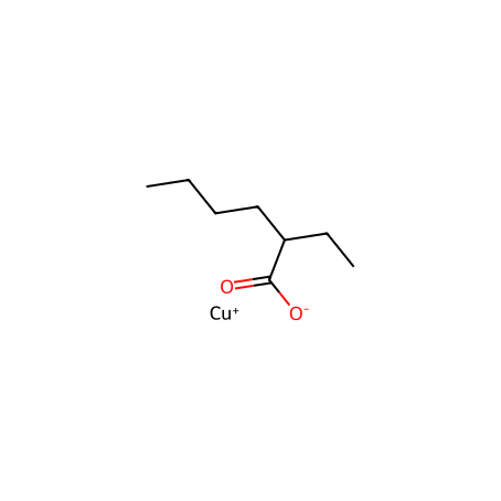 CCCCC(CC)C(=O)[O-].[Cu+]